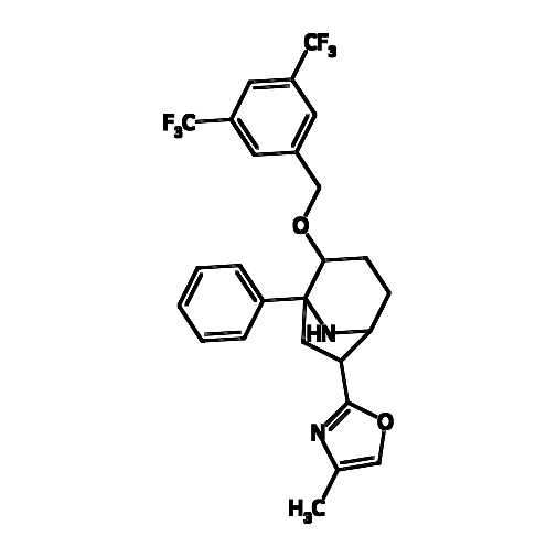 Cc1coc(C2CC3(c4ccccc4)NC2CCC3OCc2cc(C(F)(F)F)cc(C(F)(F)F)c2)n1